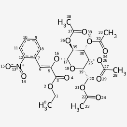 CCOC(=O)C(=Cc1ccccc1[N+](=O)[O-])O[C@H]1O[C@@H](COC(C)=O)[C@@H](OC(C)=O)[C@@H](OC(C)=O)[C@@H]1OC(C)=O